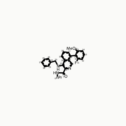 CCCNC(=O)c1ncc2c(-c3c(F)cccc3OC)cccc2c1NCc1ccccc1